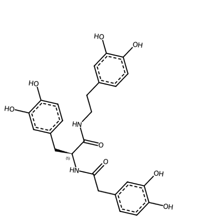 O=C(Cc1ccc(O)c(O)c1)N[C@@H](Cc1ccc(O)c(O)c1)C(=O)NCCc1ccc(O)c(O)c1